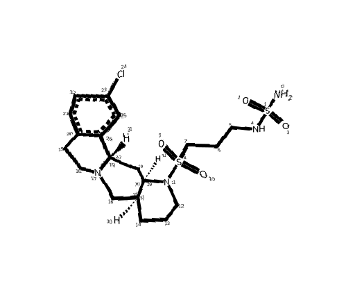 NS(=O)(=O)NCCCS(=O)(=O)N1CCC[C@H]2CN3CCc4ccc(Cl)cc4[C@@H]3C[C@H]21